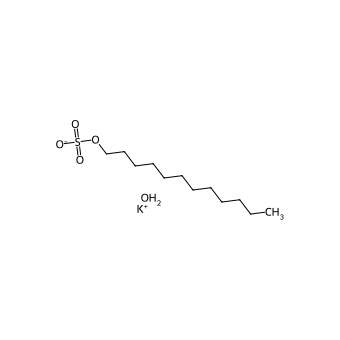 CCCCCCCCCCCCOS(=O)(=O)[O-].O.[K+]